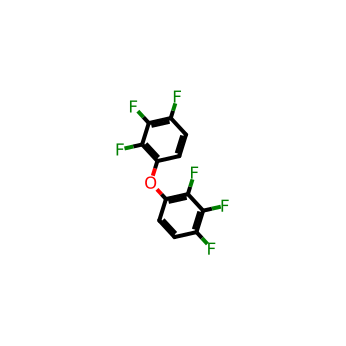 Fc1ccc(Oc2ccc(F)c(F)c2F)c(F)c1F